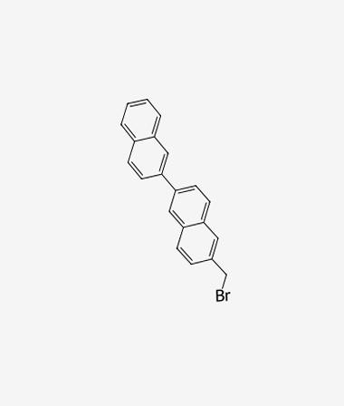 BrCc1ccc2cc(-c3ccc4ccccc4c3)ccc2c1